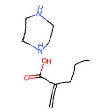 C1CNCCN1.C=C(CCC)C(=O)O